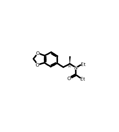 CCC(=O)N(CC)[C@H](C)Cc1ccc2c(c1)OCO2